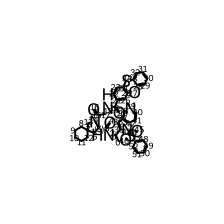 CC(NC(=O)[C@@H]1CC2(CCCCC2)CN1C(=O)CNC(=O)c1ccc2c(c1)Oc1ccccc1S2)c1cc2cnccc2n1S(=O)(=O)c1ccccc1